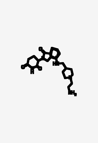 NCCN1CCC(CNc2cccc3c2CN(C2CCC(=O)NC2=O)C3=O)CC1